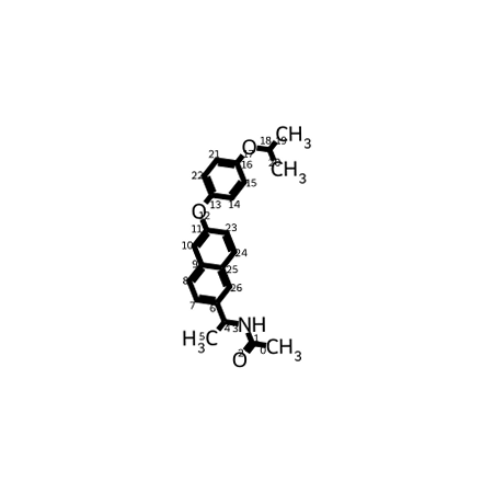 CC(=O)NC(C)c1ccc2cc(Oc3ccc(OC(C)C)cc3)ccc2c1